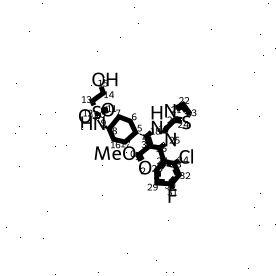 COC(=O)C1=C([C@H]2CC[C@H](NS(=O)(=O)CCO)CC2)NC(c2nccs2)=NC1c1ccc(F)cc1Cl